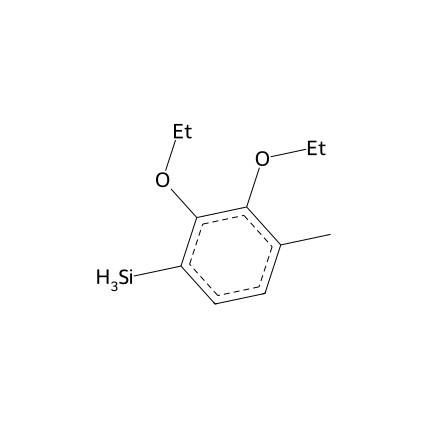 CCOc1c(C)ccc([SiH3])c1OCC